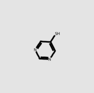 Sc1cn[c]nc1